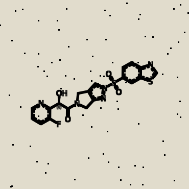 O=C([C@H](O)c1ncccc1F)N1Cc2cn(S(=O)(=O)c3ccc4ncsc4c3)nc2C1